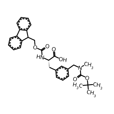 CN(Cc1cccc(C[C@H](NC(=O)OCC2c3ccccc3-c3ccccc32)C(=O)O)c1)C(=O)OC(C)(C)C